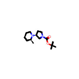 C[C@H]1CCCCN1[C@H]1CCN(C(=O)OC(C)(C)C)C1